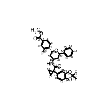 COC(=O)c1ccc([C@H]2CC(NC(=O)C3(c4ccc5c(c4)OC(F)(F)O5)CC3)CC(c3ccccc3)O2)c(F)c1